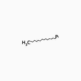 CCCCCCCCCCCCCCC[P]